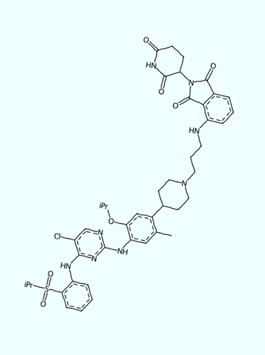 Cc1cc(Nc2ncc(Cl)c(Nc3ccccc3S(=O)(=O)C(C)C)n2)c(OC(C)C)cc1C1CCN(CCCNc2cccc3c2C(=O)N(C2CCC(=O)NC2=O)C3=O)CC1